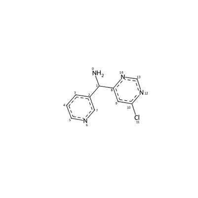 NC(c1cccnc1)c1cc(Cl)ncn1